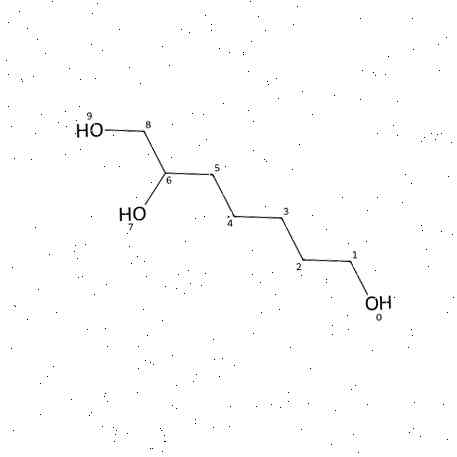 OCCC[CH]CC(O)CO